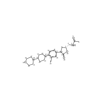 CC(=O)NC[C@H]1CN(c2ccc(N3CCC(N4CCOCC4)CC3)c(F)c2)C(=O)O1